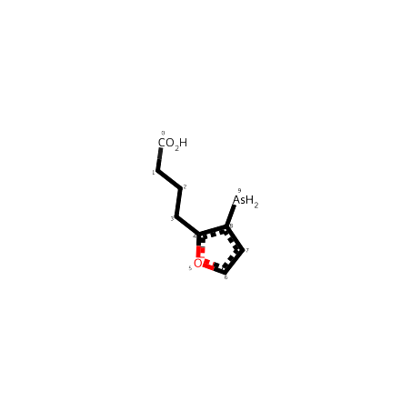 O=C(O)CCCc1occc1[AsH2]